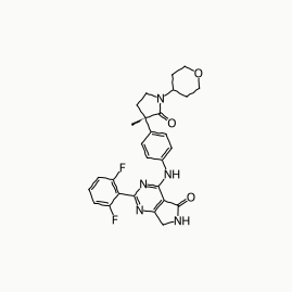 C[C@@]1(c2ccc(Nc3nc(-c4c(F)cccc4F)nc4c3C(=O)NC4)cc2)CCN(C2CCOCC2)C1=O